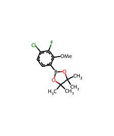 COc1c(B2OC(C)(C)C(C)(C)O2)ccc(Cl)c1F